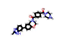 Cc1nc2ccc(-c3ccc4c(c3)CN(C(=O)c3ccc(C(=O)N5CCN(C)CC5)cc3)CCO4)cc2[nH]1